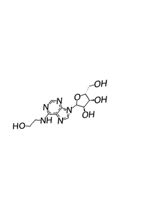 OCCNc1ncnc2c1ncn2C1O[C@H](CO)[C@@H](O)[C@H]1O